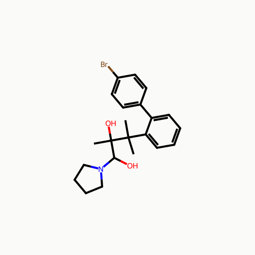 CC(C)(c1ccccc1-c1ccc(Br)cc1)C(C)(O)C(O)N1CCCC1